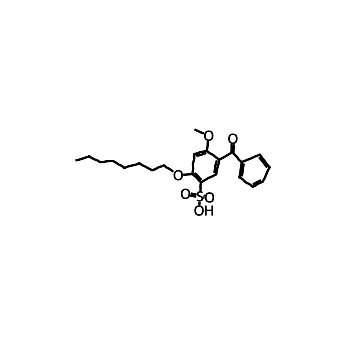 CCCCCCCCOc1cc(OC)c(C(=O)c2ccccc2)cc1S(=O)(=O)O